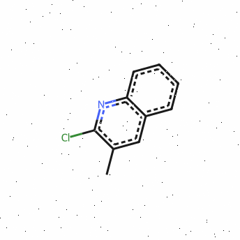 [CH2]c1cc2ccccc2nc1Cl